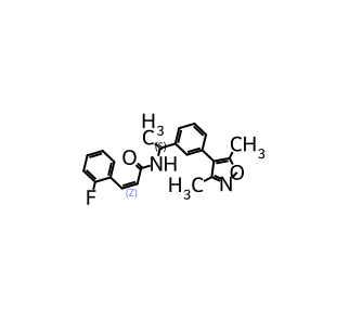 Cc1noc(C)c1-c1cccc([C@H](C)NC(=O)/C=C\c2ccccc2F)c1